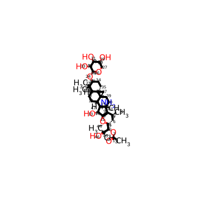 CC(=O)O[C@@H]([C@H]1C[C@@H](C)C2=C(O1)[C@H](O)[C@@]1(N)[C@@H]3CC[C@H]4C(C)(C)[C@@H](O[C@@H]5OC[C@@H](O)[C@H](O)[C@H]5O)CC[C@@]45C[C@@]35CC[C@]21C)C(C)(C)O